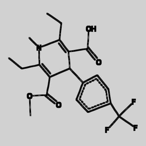 CCC1=C(C(=O)O)C(c2ccc(C(F)(F)F)cc2)C(C(=O)OC)=C(CC)N1C